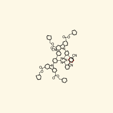 [C-]#[N+]c1cccc(-c2ccc(-n3c4ccc(C(=O)OCc5ccccc5)cc4c4cc(C(=O)OCc5ccccc5)ccc43)cc2-c2nc(-c3ccccc3-c3ccc(C#N)cc3)nc(-c3cc(-n4c5ccc(C(=O)OCc6ccccc6)cc5c5cc(C(=O)OCc6ccccc6)ccc54)ccc3-c3cccc(C#N)c3)n2)c1